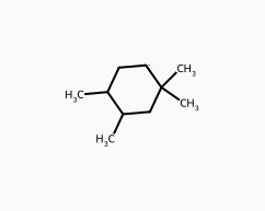 CC1C[CH]C(C)(C)CC1C